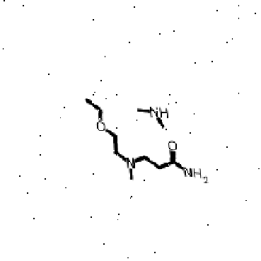 CCOCCN(C)CCC(N)=O.CNC